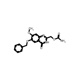 COc1cc2nc(COC(N)=O)[nH]c(=O)c2cc1OCc1ccccc1